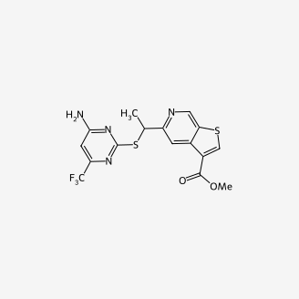 COC(=O)c1csc2cnc(C(C)Sc3nc(N)cc(C(F)(F)F)n3)cc12